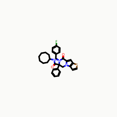 O=C1c2cc3sccc3n2CC(C(=O)NC2CCCCCCC2)(c2ccccc2)N1Cc1ccc(F)cc1